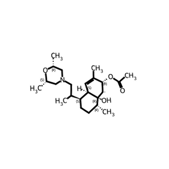 CC(=O)O[C@@H]1[CH][C@@]2(O)[C@H](C)CC[C@@H](C(C)CN3C[C@@H](C)O[C@@H](C)C3)[C@H]2C=C1C